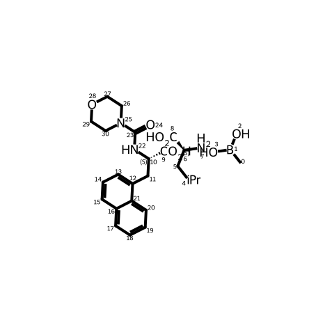 CB(O)O.CC(C)C[C@H](N)C(=O)O.O=C(O)[C@H](Cc1cccc2ccccc12)NC(=O)N1CCOCC1